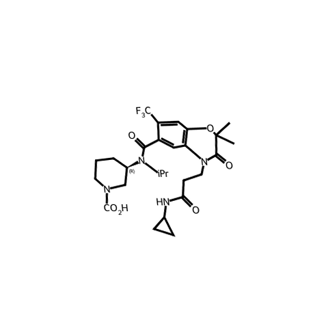 CC(C)N(C(=O)c1cc2c(cc1C(F)(F)F)OC(C)(C)C(=O)N2CCC(=O)NC1CC1)[C@@H]1CCCN(C(=O)O)C1